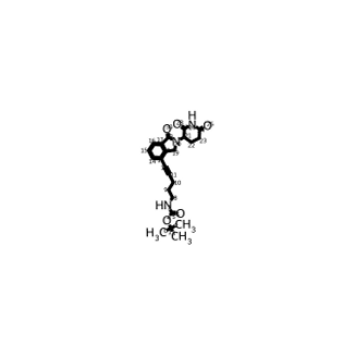 CC(C)(C)OC(=O)NCCCC#Cc1cccc2c1CN(C1CCC(=O)NC1=O)C2=O